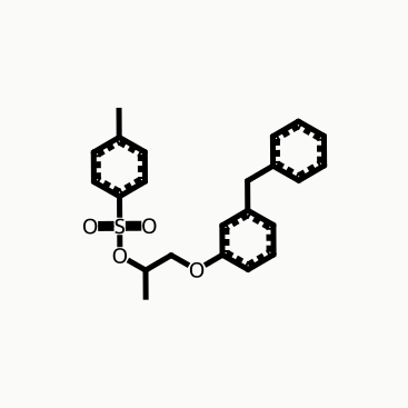 Cc1ccc(S(=O)(=O)OC(C)COc2cccc(Cc3ccccc3)c2)cc1